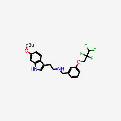 CCCCOc1ccc2c(CCNCc3cccc(OCC(F)(F)C(F)F)c3)c[nH]c2c1